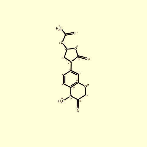 CC(=O)OC1CN(c2ccc3c(c2)OCC(=O)N3C)C(=O)O1